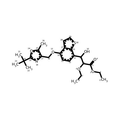 CCOC(=O)C(OCC)C(O)c1ccc(OCc2nc(C(C)(C)C)oc2C)c2ccsc12